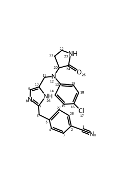 N#Cc1ccc(Cc2ncc(CN(c3ccc(Cl)cc3)C3CCNC3=O)[nH]2)cc1